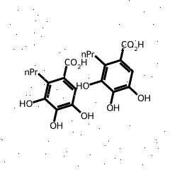 CCCc1c(C(=O)O)cc(O)c(O)c1O.CCCc1c(C(=O)O)cc(O)c(O)c1O